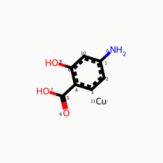 Nc1ccc(C(=O)O)c(O)c1.[Cu]